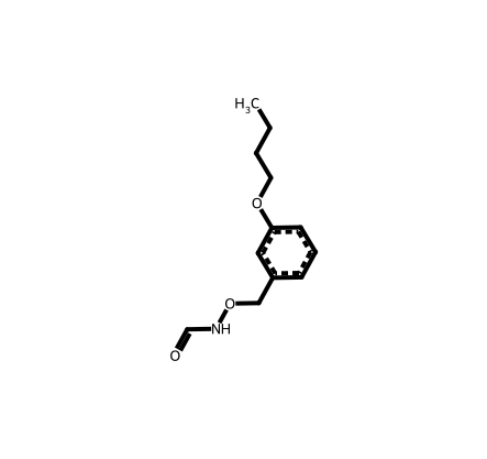 CCCCOc1cccc(CONC=O)c1